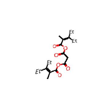 CCC(CC)=C(C)C(=O)OC(=O)CC(=O)OC(=O)C(C)=C(CC)CC